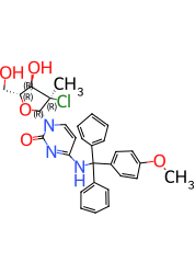 COc1ccc(C(Nc2ccn([C@@H]3O[C@H](CO)[C@@H](O)[C@@]3(C)Cl)c(=O)n2)(c2ccccc2)c2ccccc2)cc1